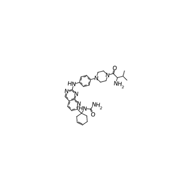 CC(C)C(N)C(=O)N1CCN(c2ccc(Nc3ncc4ccc(C5(NC(N)=O)CC=CCC5)nc4n3)cc2)CC1